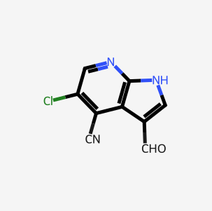 N#Cc1c(Cl)cnc2[nH]cc(C=O)c12